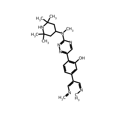 C=N/C=C(\C=N/C)c1ccc(-c2cnc(N(C)C3CC(C)(C)NC(C)(C)C3)nn2)c(O)c1